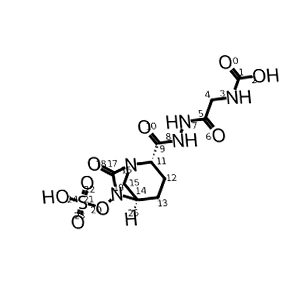 O=C(O)NCC(=O)NNC(=O)[C@@H]1CC[C@@H]2CN1C(=O)N2OS(=O)(=O)O